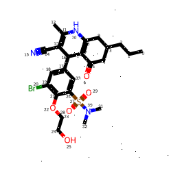 CCCC1CC(=O)C2=C(C1)NC(C)=C(C#N)C2c1cc(Br)c(OCCO)c(S(=O)(=O)N(C)C)c1